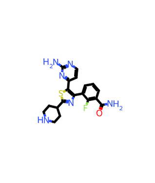 NC(=O)c1cccc(-c2nc(C3CCNCC3)sc2-c2ccnc(N)n2)c1F